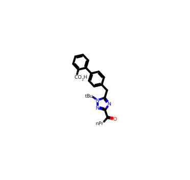 CCCC(=O)c1nc(Cc2ccc(-c3ccccc3C(=O)O)cc2)n(C(C)(C)C)n1